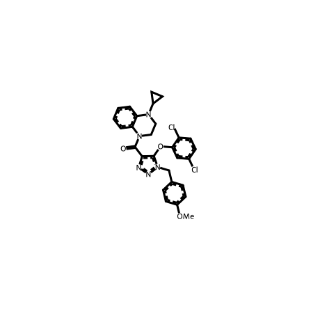 COc1ccc(Cn2nnc(C(=O)N3CCN(C4CC4)c4ccccc43)c2Oc2cc(Cl)ccc2Cl)cc1